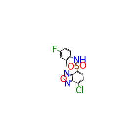 Cc1cc(F)ccc1NS(=O)(=O)c1ccc(Cl)c2nonc12